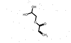 C=CC(=O)OCC(O)O